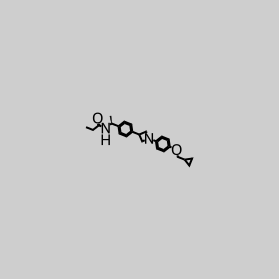 CCC(=O)N[C@@H](C)c1ccc(C2CN(c3ccc(OCC4CC4)cc3)C2)cc1